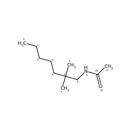 CCCCCC(C)(C)CNC(C)=O